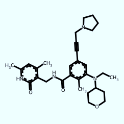 CCN(c1cc(C#CCN2CCCC2)cc(C(=O)NCc2c(C)cc(C)[nH]c2=O)c1C)C1CCOCC1